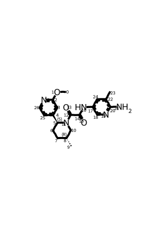 COc1cc([C@@H]2CC[C@@H](C)CN2C(=O)C(=O)Nc2cnc(N)c(C)c2)ccn1